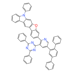 c1ccc(-c2ccc(-c3ccccc3)c(-c3cnc(-c4ccc5c(c4)oc4cc6c(cc45)c4ccccc4n6-c4ccccc4)c(-c4nc(-c5ccccc5)nc(-c5ccccc5)n4)c3)c2)cc1